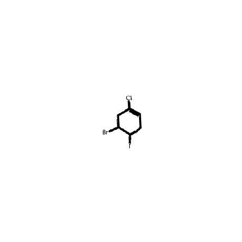 ClC1=CCC(I)C(Br)C1